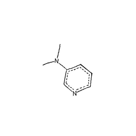 CN(C)c1cccnc1